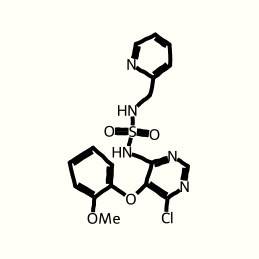 COc1ccccc1Oc1c(Cl)ncnc1NS(=O)(=O)NCc1ccccn1